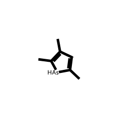 CC1=[C]C(C)=C(C)[AsH]1